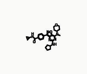 CN(c1nc(NC2CCCC2)nc2c(-c3ccc(C(=O)NC4CC4)cc3)noc12)C1CCOCC1